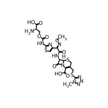 CO/N=C(/C(=O)N[C@@H]1C(=O)N2C(C(=O)O)=C(CSc3nnnn3C)CS[C@H]12)c1csc(NC(=O)OC[C@@H](N)C(=O)O)n1